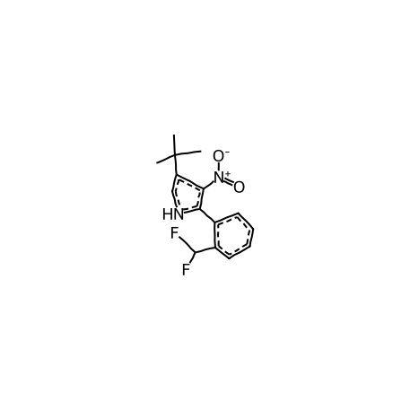 CC(C)(C)c1c[nH]c(-c2ccccc2C(F)F)c1[N+](=O)[O-]